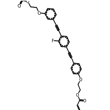 C=CC(=O)OCCOc1ccc(C#Cc2ccc(C#Cc3cccc(OCCOC(=O)C=C)c3)c(F)c2)cc1